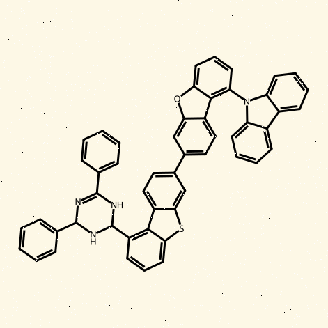 c1ccc(C2=NC(c3ccccc3)NC(c3cccc4sc5cc(-c6ccc7c(c6)oc6cccc(-n8c9ccccc9c9ccccc98)c67)ccc5c34)N2)cc1